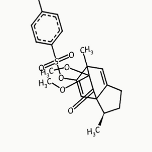 COC1(OC)C(=O)C23C=C(OS(=O)(=O)c4ccc(C)cc4)C1(C)C=C2CC[C@H]3C